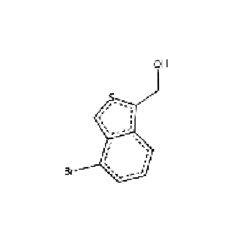 OCc1scc2c(Br)cccc12